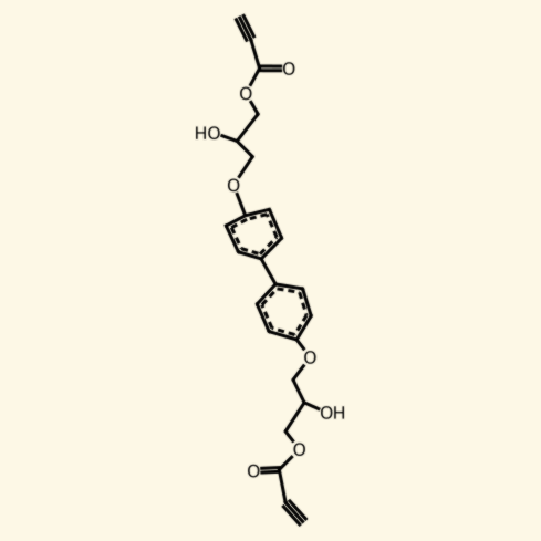 C#CC(=O)OCC(O)COc1ccc(-c2ccc(OCC(O)COC(=O)C#C)cc2)cc1